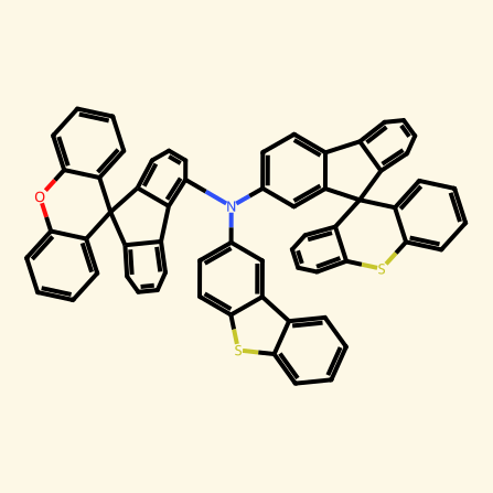 c1ccc2c(c1)Oc1ccccc1C21c2ccccc2-c2c(N(c3ccc4c(c3)C3(c5ccccc5Sc5ccccc53)c3ccccc3-4)c3ccc4sc5ccccc5c4c3)cccc21